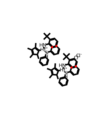 CC1=C(C)C(C)[C]([Hf+]([NH]c2ccccc2C(C)(C)C)[SiH](c2ccccc2)c2ccccc2)=C1C.CC1=C(C)C(C)[C]([Hf+]([NH]c2ccccc2C(C)(C)C)[SiH](c2ccccc2)c2ccccc2)=C1C.[Cl-].[Cl-]